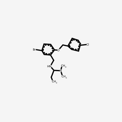 CCC(NCc1cc(Br)ccc1OCc1ccc(Cl)cc1)N(C)C